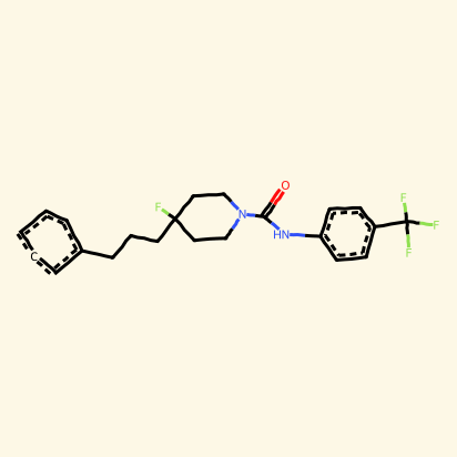 O=C(Nc1ccc(C(F)(F)F)cc1)N1CCC(F)(CCCc2ccccc2)CC1